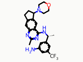 Cc1nc(N[C@H](C)c2cc(N)cc(C(F)(F)F)c2)c2cc3c(cc2n1)CCC3N1CCOCC1